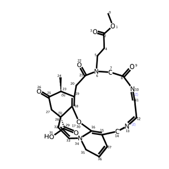 COC(=O)CCN1CC(=O)/N=C\C=N/CC2=C3OC4=C(CC1=O)[C@H](C)C(=O)C[C@]4(C(=O)O)C=CN3CC=C2